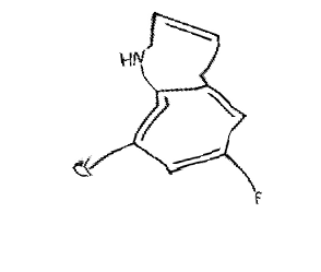 Fc1cc(Cl)c2[nH]ccc2c1